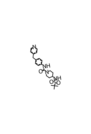 CC(C)(C)S(=O)(=O)NC1CCN(C(=O)Nc2ccc(Cc3ccncc3)cc2)CC1